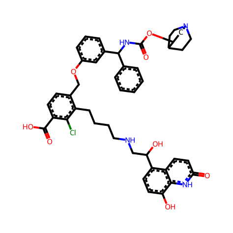 O=C(NC(c1ccccc1)c1cccc(OCc2ccc(C(=O)O)c(Cl)c2CCCCNCC(O)c2ccc(O)c3[nH]c(=O)ccc23)c1)OC1CN2CCC1CC2